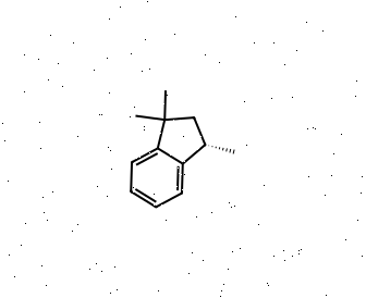 C[C@H]1CC(C)(C)c2ccccc21